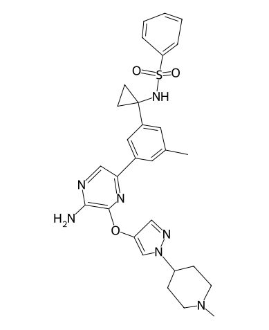 Cc1cc(-c2cnc(N)c(Oc3cnn(C4CCN(C)CC4)c3)n2)cc(C2(NS(=O)(=O)c3ccccc3)CC2)c1